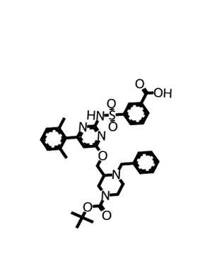 Cc1cccc(C)c1-c1cc(OCC2CN(C(=O)OC(C)(C)C)CCN2Cc2ccccc2)nc(NS(=O)(=O)c2cccc(C(=O)O)c2)n1